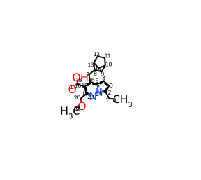 CCc1ccc2c(CC3CC4CCC3C4)c(C(=O)O)c(COC)nn12